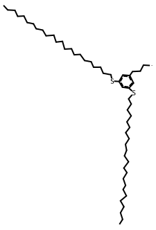 [CH2]CCCc1cc(SCCCCCCCCCCCCCCCCCCCCCCC)cc(SCCCCCCCCCCCCCCCCCCCCCCC)c1